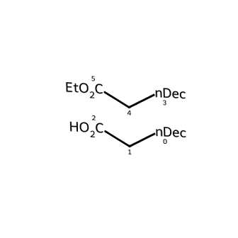 CCCCCCCCCCCC(=O)O.CCCCCCCCCCCC(=O)OCC